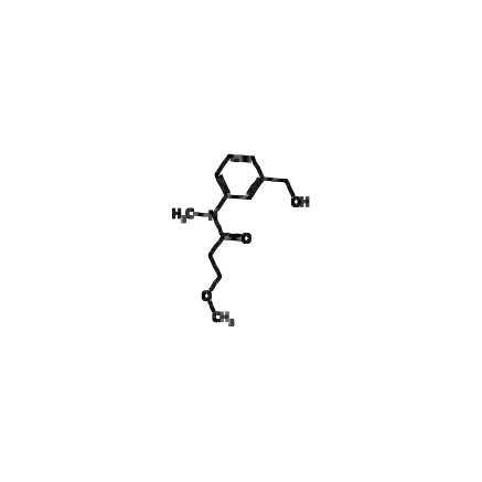 COCCC(=O)N(C)c1cccc(CO)c1